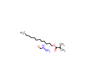 C=C(C)C(=O)OCCCCCCCCCCCC.NNC=O